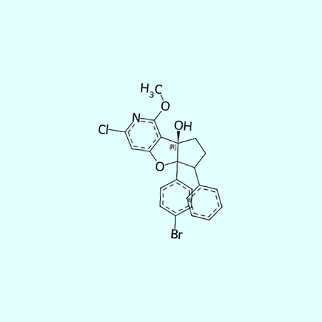 COc1nc(Cl)cc2c1[C@]1(O)CCC(c3ccccc3)C1(c1ccc(Br)cc1)O2